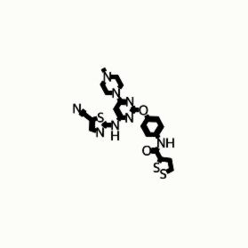 CN1CCN(c2cc(Nc3ncc(C#N)s3)nc(Oc3ccc(NC(=O)C4CCSS4)cc3)n2)CC1